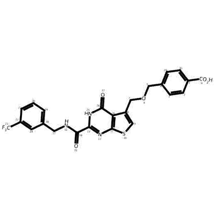 O=C(O)c1ccc(COCc2csc3nc(C(=O)NCc4cccc(C(F)(F)F)c4)[nH]c(=O)c23)cc1